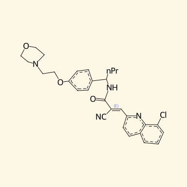 CCCC(NC(=O)/C(C#N)=C/c1ccc2cccc(Cl)c2n1)c1ccc(OCCN2CCOCC2)cc1